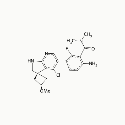 CO[C@H]1C[C@]2(CNc3ncc(-c4ccc(N)c(C(=O)N(C)C)c4F)c(Cl)c32)C1